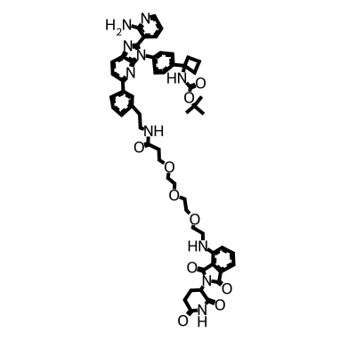 CC(C)(C)OC(=O)NC1(c2ccc(-n3c(-c4cccnc4N)nc4ccc(-c5cccc(CCNC(=O)CCOCCOCCOCCNc6cccc7c6C(=O)N(C6CCC(=O)NC6=O)C7=O)c5)nc43)cc2)CCC1